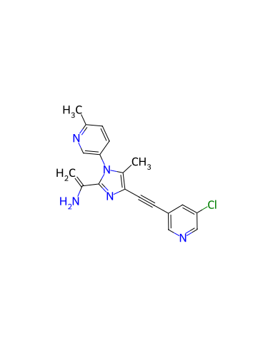 C=C(N)c1nc(C#Cc2cncc(Cl)c2)c(C)n1-c1ccc(C)nc1